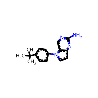 CC(C)(C)c1ccc(-n2ccc3nc(N)ncc32)cc1